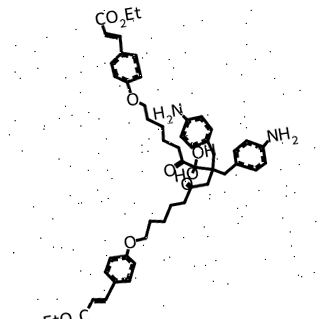 CCOC(=O)C=Cc1ccc(OCCCCCC(=O)CC(Cc2ccc(N)cc2)(Cc2ccc(N)cc2)C(O)(O)C(=O)CCCCCOc2ccc(C=CC(=O)OCC)cc2)cc1